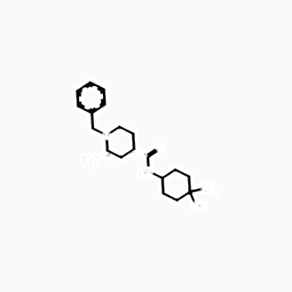 O=C(NC1CCC(O)(C(F)(F)F)CC1)[C@H]1CCN(Cc2ccccc2)[C@@H](C(F)(F)F)C1